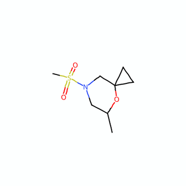 CC1CN(S(C)(=O)=O)CC2(CC2)O1